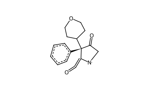 O=C=C1[N]CC(=O)[C@@]1(c1ccccc1)C1CCOCC1